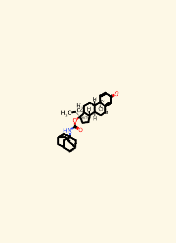 CC[C@@]1(OC(=O)NC23CC4CC(CC(C4)C2)C3)CC[C@H]2[C@@H]3CCC4=CC(=O)C=C[C@]4(C)[C@H]3CC[C@@]21C